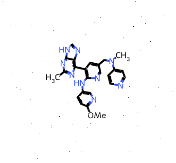 COc1ccc(Nc2ncc(CN(C)c3ccncc3)cc2-c2nc(C)nc3[nH]cnc23)cn1